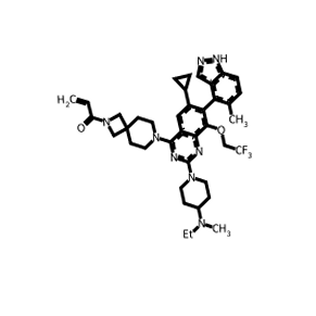 C=CC(=O)N1CC2(CCN(c3nc(N4CCC(N(C)CC)CC4)nc4c(OCC(F)(F)F)c(-c5c(C)ccc6[nH]ncc56)c(C5CC5)cc34)CC2)C1